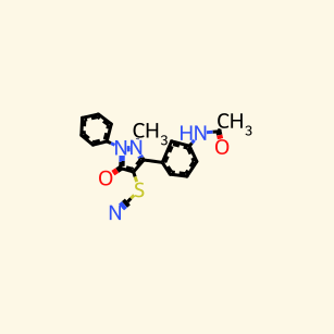 CC(=O)Nc1cccc(-c2c(SC#N)c(=O)n(-c3ccccc3)n2C)c1